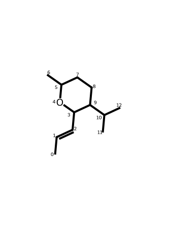 CC=CC1OC(C)CCC1C(C)C